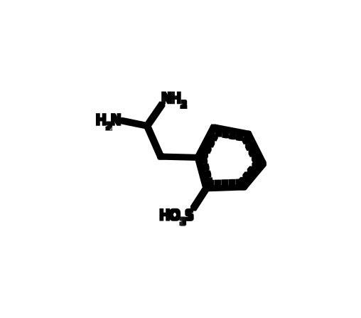 NC(N)Cc1ccccc1S(=O)(=O)O